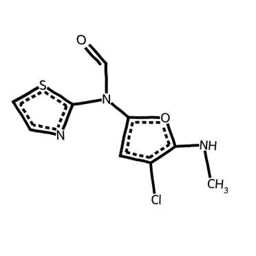 CNc1oc(N(C=O)c2nccs2)cc1Cl